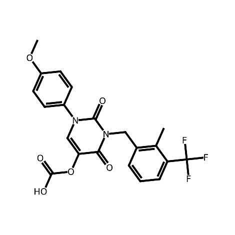 COc1ccc(-n2cc(OC(=O)O)c(=O)n(Cc3cccc(C(F)(F)F)c3C)c2=O)cc1